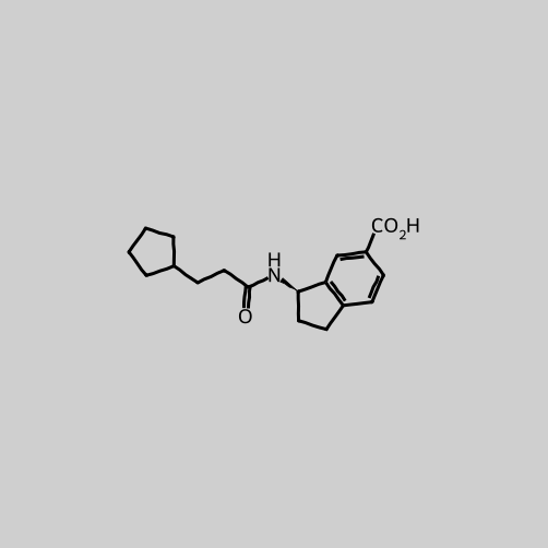 O=C(CCC1CCCC1)N[C@@H]1CCc2ccc(C(=O)O)cc21